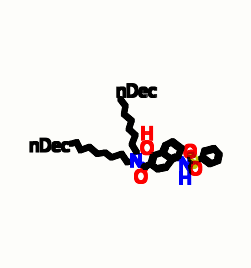 CCCCCCCCCCCCCCCCCCN(CCCCCCCCCCCCCCCCCC)C(=O)c1ccc2c(NS(=O)(=O)c3ccccc3)cccc2c1O